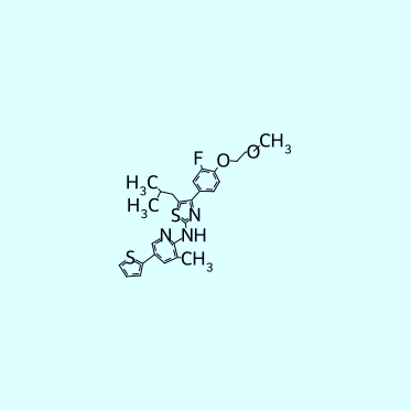 COCCOc1ccc(-c2nc(Nc3ncc(-c4cccs4)cc3C)sc2CC(C)C)cc1F